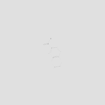 NC(=O)c1cnc2c(c1)OCCO2